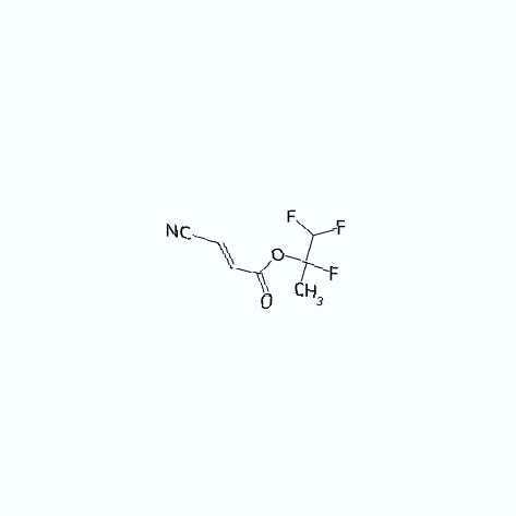 CC(F)(OC(=O)C=CC#N)C(F)F